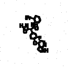 CC(C)c1ccccc1NC(=O)C(C(N)=O)c1ccc(Oc2ccnc3[nH]ccc23)c(F)c1